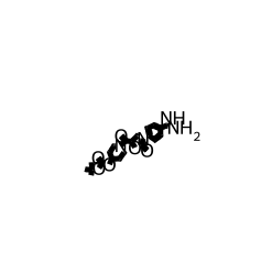 CC(C)(C)OC(=O)OC1CCN(C(=O)C2CN(c3ccc(C(=N)N)cc3)C(=O)O2)CC1